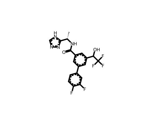 C[C@H](NC(=O)c1cc(-c2ccc(F)c(F)c2)cc(C(O)C(F)(F)F)c1)c1nnc[nH]1